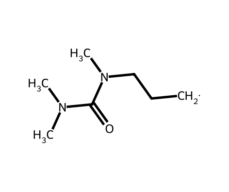 [CH2]CCN(C)C(=O)N(C)C